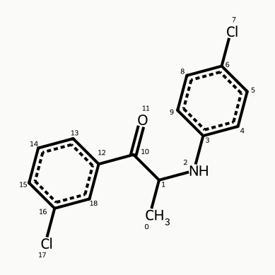 CC(Nc1ccc(Cl)cc1)C(=O)c1cccc(Cl)c1